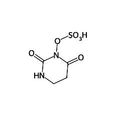 O=C1CCNC(=O)N1OS(=O)(=O)O